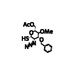 CO[C@H]1[C@H](OCc2ccccc2)[C@H](N=[N+]=[N-])[C@H](S)O[C@@H]1COC(C)=O